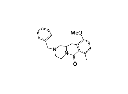 COc1ccc(C)c2c1CC1CN(Cc3ccccc3)CCN1C2=O